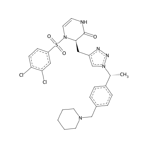 C[C@H](c1ccc(CN2CCCCC2)cc1)n1cc(C[C@@H]2C(=O)NC=CN2S(=O)(=O)c2ccc(Cl)c(Cl)c2)nn1